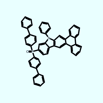 O=P(c1ccc(-c2ccccc2)cc1)(c1ccc(-c2ccccc2)cc1)c1ccc2c3cc4c5ccccc5c5ccccc5c4cc3n(-c3ccccc3)c2c1